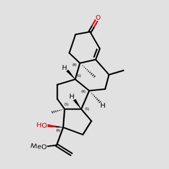 C=C(OC)[C@@]1(O)CC[C@H]2[C@@H]3CC(C)C4=CC(=O)CC[C@]4(C)[C@H]3CC[C@@]21C